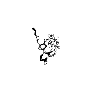 C=CCOC[C@H]1O[C@@H](n2ccc(=O)[nH]c2=O)C[C@@H]1OP(=O)(O)OP(=O)(O)OP(=O)(O)O